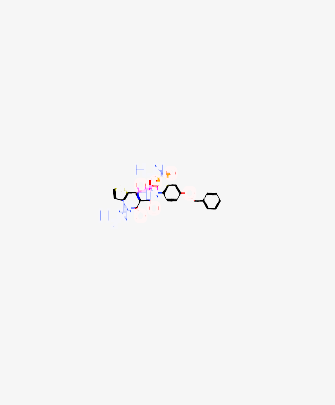 Nn1c(=O)c(C(=O)Nc2ccc(OCc3ccccc3)cc2S(N)(=O)=O)c(O)c2sccc21